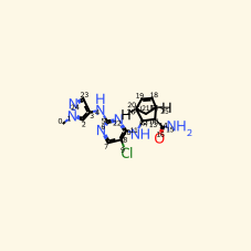 Cn1cc(Nc2ncc(Cl)c(N[C@@H]3[C@H](C(N)=O)[C@H]4C=C[C@@H]3C4)n2)cn1